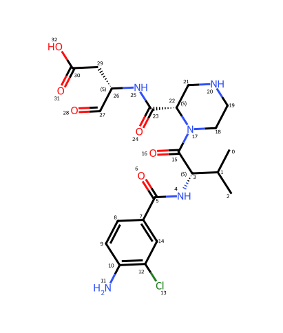 CC(C)[C@H](NC(=O)c1ccc(N)c(Cl)c1)C(=O)N1CCNC[C@H]1C(=O)N[C@H](C=O)CC(=O)O